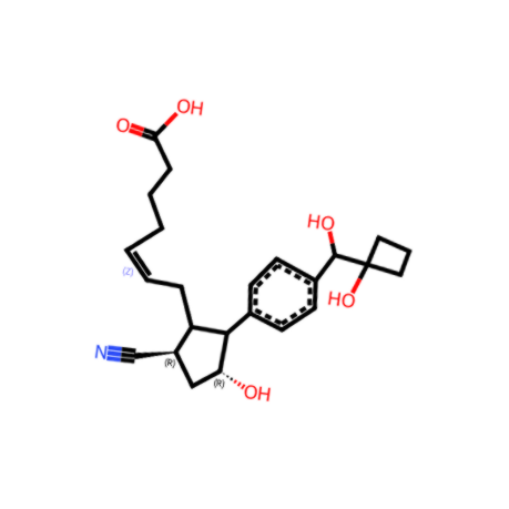 N#C[C@@H]1C[C@@H](O)C(c2ccc(C(O)C3(O)CCC3)cc2)C1C/C=C\CCCC(=O)O